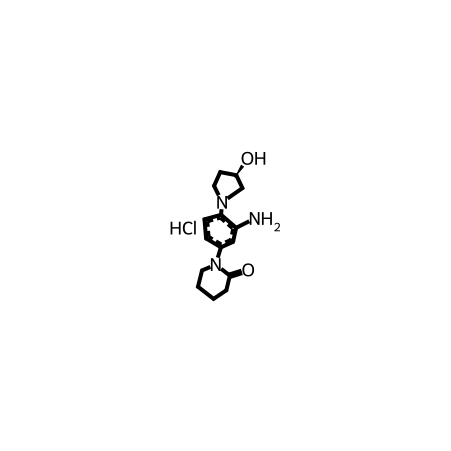 Cl.Nc1cc(N2CCCCC2=O)ccc1N1CC[C@@H](O)C1